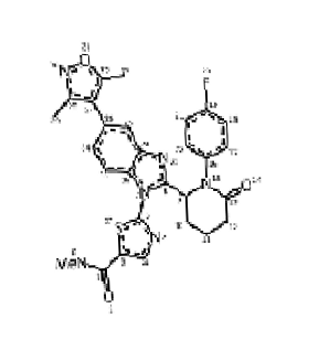 CNC(=O)c1cnc(-n2c(C3CCCC(=O)N3c3ccc(F)cc3)nc3cc(-c4c(C)noc4C)ccc32)s1